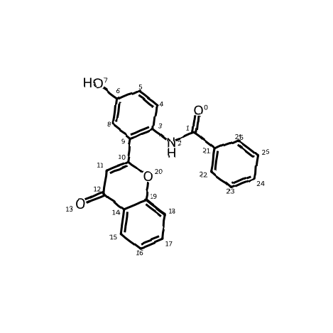 O=C(Nc1ccc(O)cc1-c1cc(=O)c2ccccc2o1)c1ccccc1